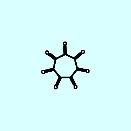 O=C1C(=O)C(=O)C(=O)C(=O)C(=O)C1=O